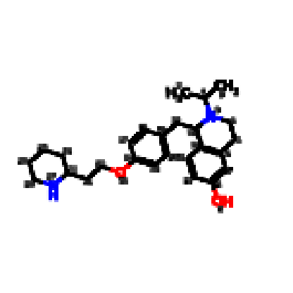 CC(C)N1CCc2cc(O)ccc2C1Cc1ccc(OCCC2CCCCN2)cc1